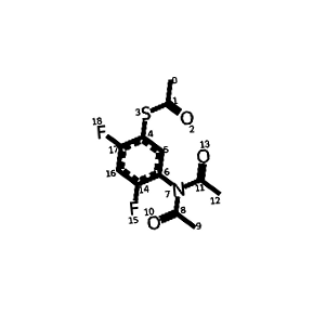 CC(=O)Sc1cc(N(C(C)=O)C(C)=O)c(F)cc1F